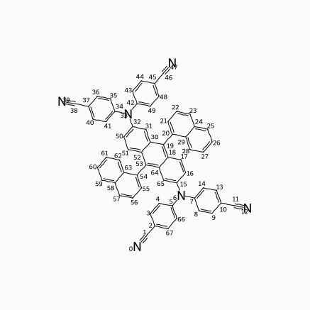 N#Cc1ccc(N(c2ccc(C#N)cc2)c2ccc3c(-c4cccc5ccccc45)c4cc(N(c5ccc(C#N)cc5)c5ccc(C#N)cc5)ccc4c(-c4cccc5ccccc45)c3c2)cc1